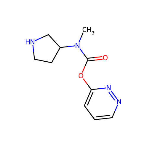 CN(C(=O)Oc1cccnn1)C1CCNC1